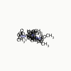 C=C(CN(C)/C=C/C=C(/C(=O)OCC)S(=O)(=O)c1ccccc1)[Si](C)(O[Si](C)(C)O[Si](C)(C)C)O[Si](C)(/C=C/CN(C)/C=C/C=C(\C(=O)OCC)S(=O)(=O)c1ccc(C)cc1)O[Si](C)(C)C